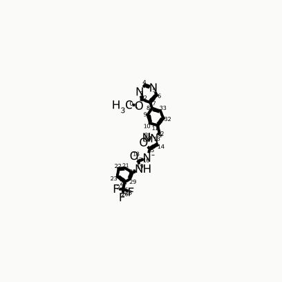 COc1ncncc1-c1ccc(C[n+]2cc([N-]C(=O)Nc3cccc(C(F)(F)F)c3)on2)cc1